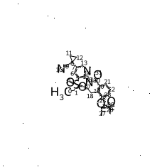 CCS(=O)(=O)c1cc(C2(C#N)CC2)cnc1N1CCc2c(ccc3c2OC(F)(F)O3)C1=O